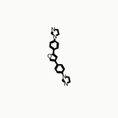 C1=NCCN1c1ccc(-c2coc(-c3ccc(N4C=NCC4)cc3)c2)cc1